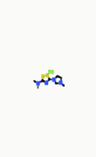 CN1CCN(C2N=C(N(C)C)SS2)C1.F